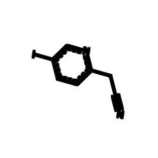 N#CCc1ccc(I)cn1